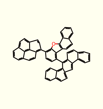 c1ccc2c(c1)ccc1c(-c3ccc(-c4ccc5ccc6cccc7ccc4c5c67)c4oc5c6ccccc6ccc5c34)c3c(ccc4ccccc43)cc12